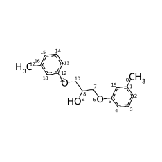 Cc1cccc(OCC(O)COc2cccc(C)c2)c1